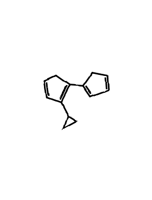 C1=CCC(C2=C(C3CC3)C=CC2)=C1